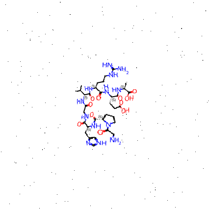 CC(C)[C@H](NC(=O)CNC(=O)[C@H](Cc1c[nH]cn1)NC(=O)[C@@H]1CCCN1C(=O)CN)C(=O)N[C@@H](CCCNC(=N)N)C(=O)N[C@@H](CCC(=O)O)C(=O)N[C@@H](C)C(=O)O